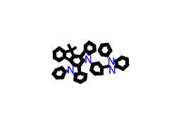 CC1(C)c2ccccc2-c2c1c1c3ccccc3n(-c3cccc(-c4nc5ccccc5n4-c4ccccc4)c3)c1c1c3ccccc3n(-c3ccccc3)c21